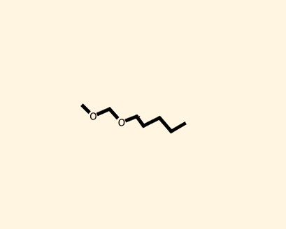 CCCC[CH]OCOC